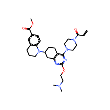 C=CC(=O)N1CCN(c2nc(OCCN(C)C)nc3c2CCC(N2CCCc4cc(C(=O)OC)ccc42)C3)CC1